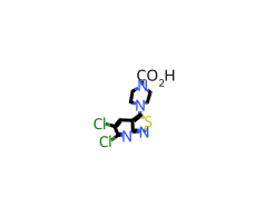 O=C(O)N1CCN(c2snc3nc(Cl)c(Cl)cc23)CC1